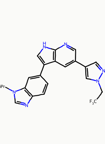 CC(C)n1cnc2ccc(-c3c[nH]c4ncc(-c5cnn(CC(F)(F)F)c5)cc34)cc21